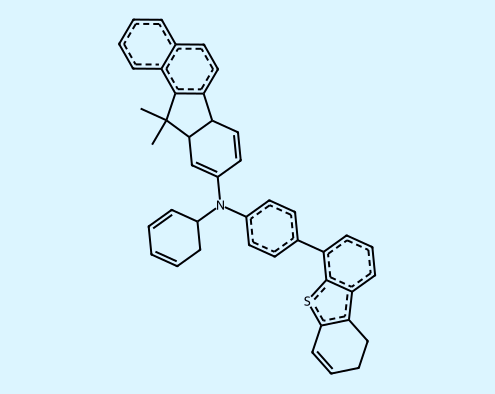 CC1(C)c2c(ccc3ccccc23)C2C=CC(N(c3ccc(-c4cccc5c6c(sc45)C=CCC6)cc3)C3C=CC=CC3)=CC21